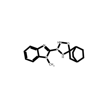 Cn1c(N2NOC3(CC4CCC3CC4)N2)nc2ccccc21